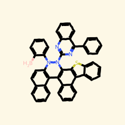 Bc1ccccc1N1c2ccc3ccccc3c2-c2c(c3sc4ccccc4c3c3ccccc23)N1c1nc(-c2ccccc2)c2ccccc2n1